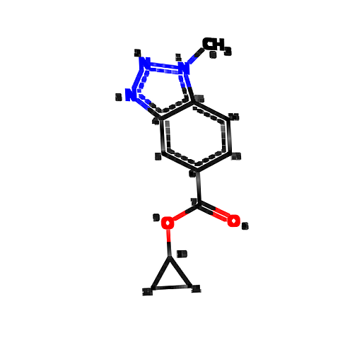 Cn1nnc2cc(C(=O)OC3CC3)ccc21